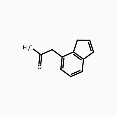 CC(=O)Cc1cccc2c1CC=C2